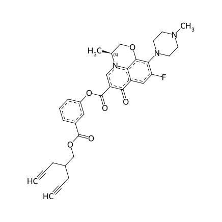 C#CCC(CC#C)COC(=O)c1cccc(OC(=O)c2cn3c4c(c(N5CCN(C)CC5)c(F)cc4c2=O)OC[C@@H]3C)c1